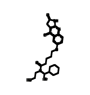 CCCC(C1CCCCC1)N(CCO)C(=O)CCCCOc1ccc2nc3n(c(=O)c2c1)CC(=O)N3